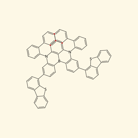 c1ccc(-c2ccccc2N2c3cc(-c4cccc5c4sc4ccccc45)ccc3B3c4ccc(-c5cccc6c5sc5ccccc56)cc4N(c4ccccc4-c4ccccc4)c4cccc2c43)cc1